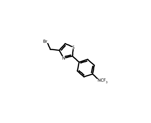 FC(F)(F)Nc1ccc(-c2nc(CBr)cs2)cc1